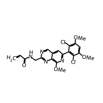 C=CC(=O)NCc1ncc2cc(-c3c(Cl)c(OC)cc(OC)c3Cl)nc(OC)c2n1